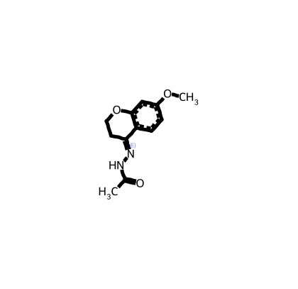 COc1ccc2c(c1)OCC/C2=N\NC(C)=O